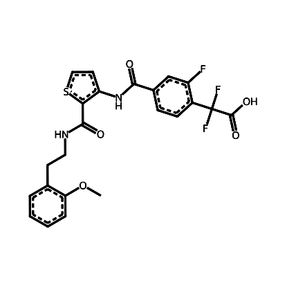 COc1ccccc1CCNC(=O)c1sccc1NC(=O)c1ccc(C(F)(F)C(=O)O)c(F)c1